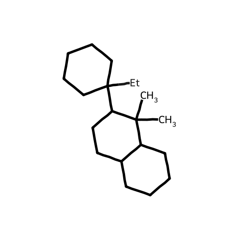 CCC1(C2CCC3CCCCC3C2(C)C)CCCCC1